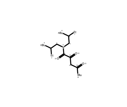 CCCCC(CC)CN(CC(CC)CCCC)C(=O)C(=O)CC(=O)C(C)(C)C